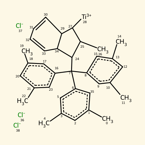 Cc1cc(C)cc(C(c2cc(C)cc(C)c2)(c2cc(C)cc(C)c2)C2C(C)[CH]([Ti+3])C3C=CC=CC32)c1.[Cl-].[Cl-].[Cl-]